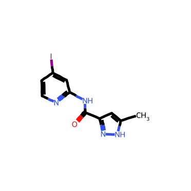 Cc1cc(C(=O)Nc2cc(I)ccn2)n[nH]1